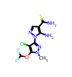 Cn1nc(-n2ncc(C(N)=S)c2N)c(Cl)c1OC(F)F